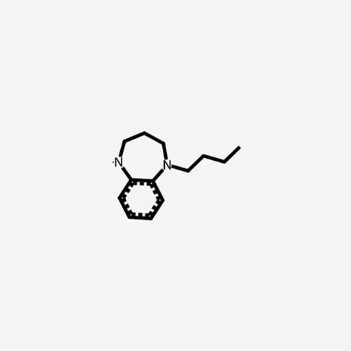 CCCCN1CCC[N]c2ccccc21